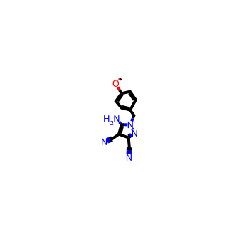 COc1ccc(Cn2nc(C#N)c(C#N)c2N)cc1